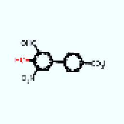 O=Cc1cc(-c2ccc(C(=O)O)cc2)cc([N+](=O)[O-])c1O